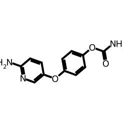 NC(=O)Oc1ccc(Oc2ccc(N)nc2)cc1